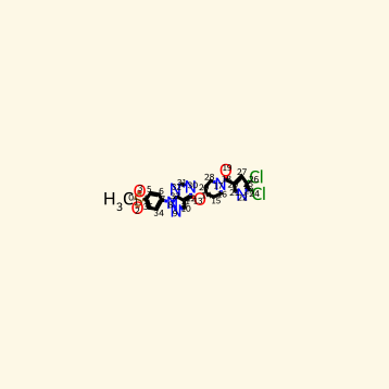 CS(=O)(=O)c1ccc(-n2ncc3c(OC4CCN(C(=O)c5cnc(Cl)c(Cl)c5)CC4)ncnc32)cc1